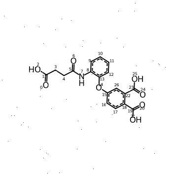 O=C(O)CCC(=O)Nc1ccccc1Oc1ccc(C(=O)O)c(C(=O)O)c1